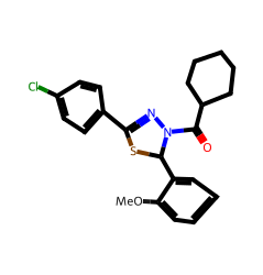 COc1ccccc1C1SC(c2ccc(Cl)cc2)=NN1C(=O)C1CCCCC1